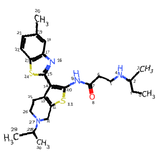 CCC(C)NCCC(=O)Nc1sc2c(c1-c1nc3cc(C)ccc3s1)CCN(C(C)C)C2